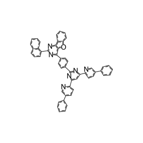 c1ccc(-c2ccc(-c3cc(-c4ccc(-c5ccccc5)cn4)nc(-c4ccc(-c5nc(-c6cccc7ccccc67)nc6c5oc5ccccc56)cc4)n3)nc2)cc1